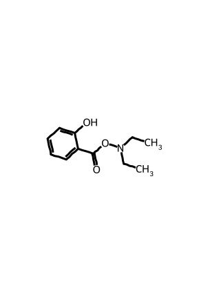 CCN(CC)OC(=O)c1ccccc1O